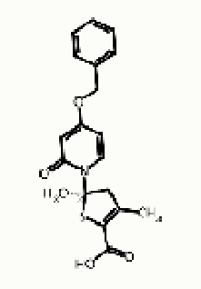 CC1=C(C(=O)O)S[C@@](C)(n2ccc(OCc3ccccc3)cc2=O)C1